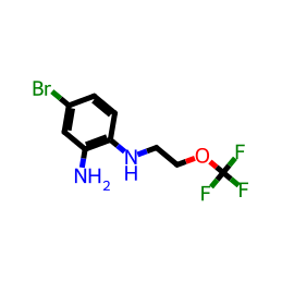 Nc1cc(Br)ccc1NCCOC(F)(F)F